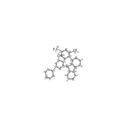 N#Cc1cc(-c2ccncc2)cc(-n2c3ccccc3c3cccc(-c4ccc(C(F)(F)F)cc4C(F)(F)F)c32)c1